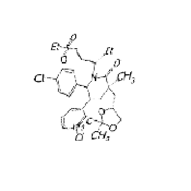 CC[C@@H](CCS(=O)(=O)CC)N1C(=O)[C@@](C)(C[C@@H]2COC(C)(C)O2)CC(c2cccc(Cl)c2)C1c1ccc(Cl)cc1